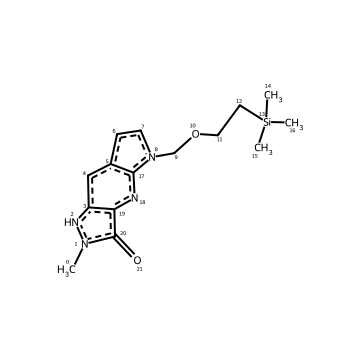 Cn1[nH]c2cc3ccn(COCC[Si](C)(C)C)c3nc2c1=O